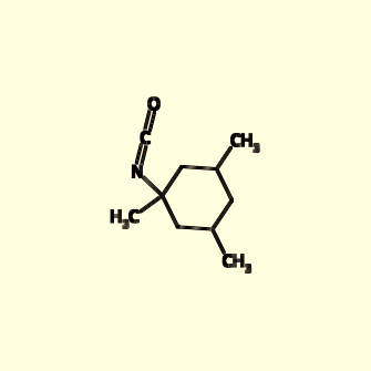 CC1CC(C)CC(C)(N=C=O)C1